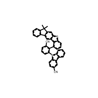 CC1(C)c2ccccc2-c2cc3c(cc21)sc1cccc(-c2c(C#N)cccc2-n2c4ccccc4c4cc(C#N)ccc42)c13